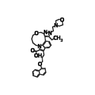 CCc1c2c(nn1CCN1CCOCC1)COCCCCn1c(C(=O)O)c(CCCOc3cccc4ccccc34)c3cccc-2c31